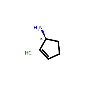 Cl.N[C@@H]1C=CCC1